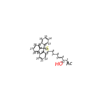 CC(=O)C[C@H](O)/C=C/CCCCSC(c1ccccc1)(c1ccccc1)c1ccccc1